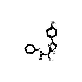 CCN(C(=O)OC1CCCCC1)c1nc(-c2ccc(C(C)(C)C)cc2)c[nH]1